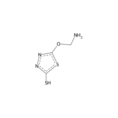 NCOc1nnc(S)s1